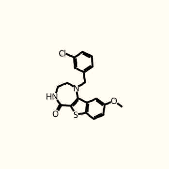 COc1ccc2sc3c(c2c1)N(Cc1cccc(Cl)c1)CCNC3=O